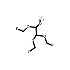 FCOC(OCF)C(OCF)OC(F)(F)F